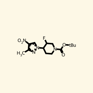 Cc1nn(C2CCN(C(=O)OC(C)(C)C)CC2F)cc1[N+](=O)[O-]